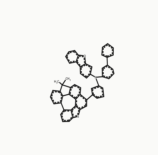 CC1(C)c2cccc3c2-c2c1ccc1c(-c4cccc(N(c5cccc(-c6ccccc6)c5)c5ccc6c(c5)oc5ccccc56)c4)cc4sc5cccc-3c5c4c21